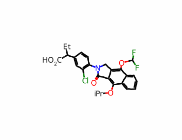 CCC(C(=O)O)c1ccc(N2Cc3c(c(OC(C)C)c4ccccc4c3OC(F)F)C2=O)c(Cl)c1